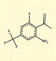 CC(=O)c1c(N)cc(C(F)(F)F)cc1F